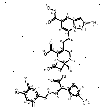 CN1C=C2N=C(C(=O)NO)C=C(SCC3=C(C(=O)O)N4C(=O)[C@@H](NC(=O)/C(=N\OCc5nc(=O)c(O)c[nH]5)c5csc(N)n5)[C@H]4SC3)N2N1